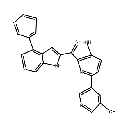 Oc1cncc(-c2ccc3[nH]nc(-c4cc5c(-c6cccnc6)cncc5[nH]4)c3n2)c1